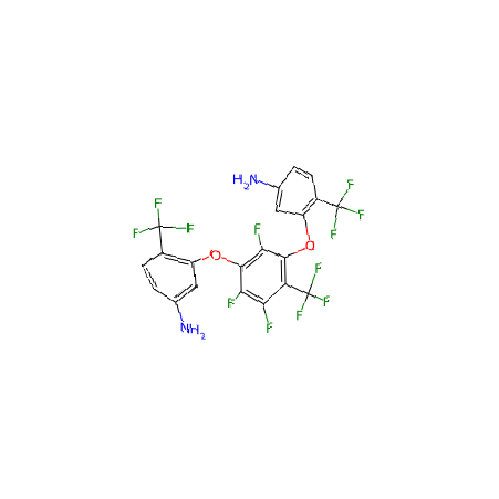 Nc1ccc(C(F)(F)F)c(Oc2c(F)c(F)c(C(F)(F)F)c(Oc3cc(N)ccc3C(F)(F)F)c2F)c1